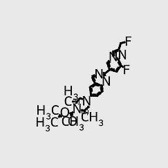 C[C@H]1CN(c2ccc3nc(-c4cc(F)c5nc(CF)cn5c4)ncc3c2)C[C@H](C)N1C(=O)OC(C)(C)C